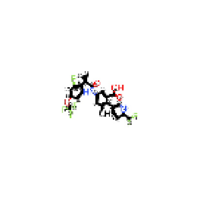 Cc1cc(NC(=O)C2(c3ccc(OC(F)(F)F)cc3F)CC2)cc(C(=O)O)c1-c1ccc(C(F)F)nc1